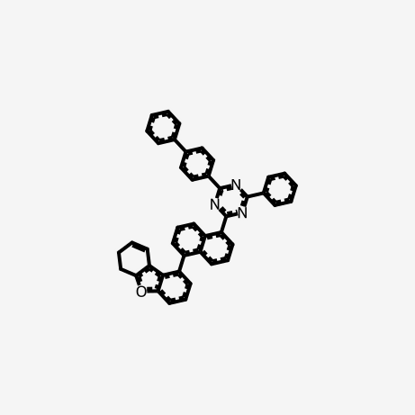 C1=Cc2c(oc3cccc(-c4cccc5c(-c6nc(-c7ccccc7)nc(-c7ccc(-c8ccccc8)cc7)n6)cccc45)c23)CC1